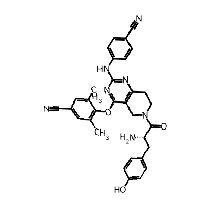 Cc1cc(C#N)cc(C)c1Oc1nc(Nc2ccc(C#N)cc2)nc2c1CN(C(=O)[C@@H](N)Cc1ccc(O)cc1)CC2